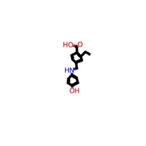 CCc1cc(CNc2ccc(O)cc2)ccc1C(=O)O